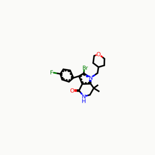 CC1(C)CNC(=O)c2c(-c3ccc(F)cc3)c(Br)n(CC3CCOCC3)c21